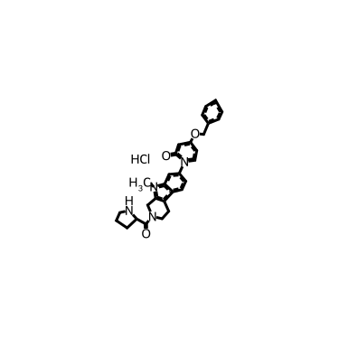 Cl.Cn1c2c(c3ccc(-n4ccc(OCc5ccccc5)cc4=O)cc31)CCN(C(=O)C1CCCN1)C2